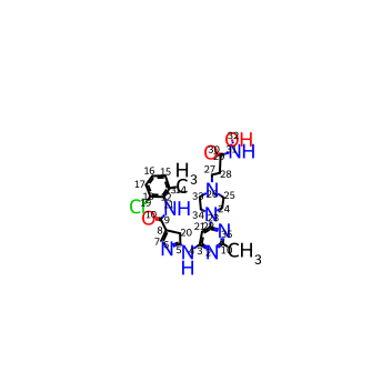 Cc1nc(NC2=NC=C(C(=O)Nc3c(C)cccc3Cl)C2)cc(N2CCN(CCC(=O)NO)CC2)n1